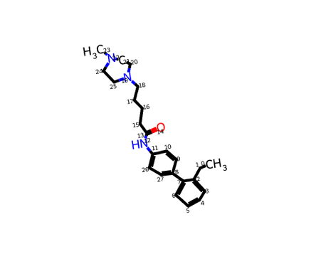 CCc1ccccc1-c1ccc(NC(=O)CCCCN2CCN(C)CC2)cc1